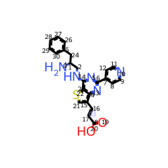 NC(CNc1nc(-c2ccncc2)nc2c(/C=C/C(=O)O)csc12)Cc1ccccc1